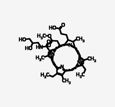 CCC1=C(C)c2cc3[nH]c(cc4nc(c(CC(=O)OC)c5[nH]c(cc1n2)c(C)c5C(=O)NCC(O)CO)C(CCC(=O)O)C4C)c(C)c3CC